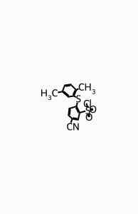 Cc1ccc(C)c(Sc2ccc(C#N)cc2S(=O)(=O)Cl)c1